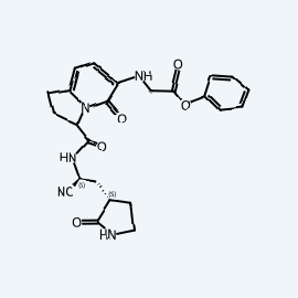 N#C[C@H](C[C@@H]1CCNC1=O)NC(=O)C1CCc2ccc(NCC(=O)Oc3ccccc3)c(=O)n21